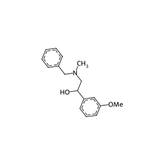 COc1cccc(C(O)CN(C)Cc2ccccc2)c1